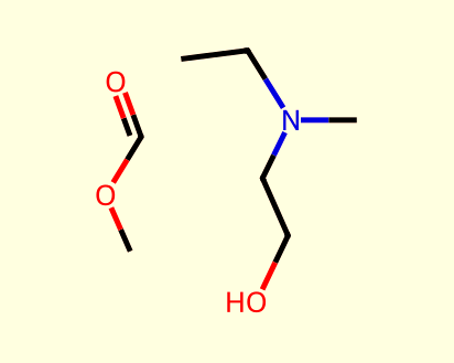 CCN(C)CCO.COC=O